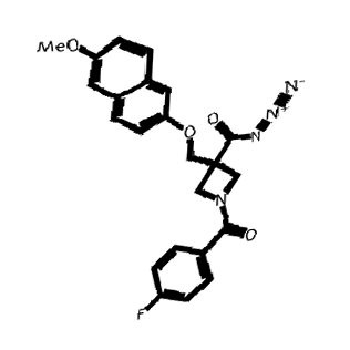 COc1ccc2cc(OCC3(C(=O)N=[N+]=[N-])CN(C(=O)c4ccc(F)cc4)C3)ccc2c1